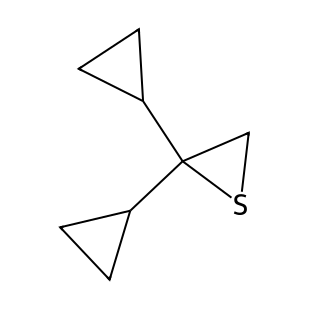 C1CC1C1(C2CC2)CS1